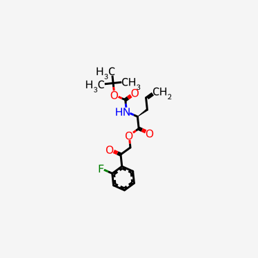 C=CC[C@H](NC(=O)OC(C)(C)C)C(=O)OCC(=O)c1ccccc1F